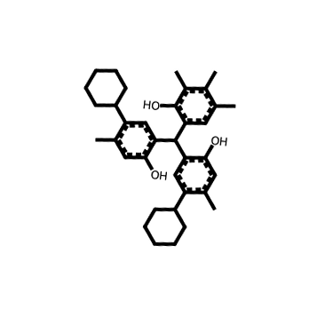 Cc1cc(O)c(C(c2cc(C3CCCCC3)c(C)cc2O)c2cc(C)c(C)c(C)c2O)cc1C1CCCCC1